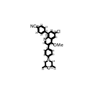 COc1c(-c2ccc(N3CC(C)OC(C)C3)cc2)cnc2c(-c3ccc(C#N)cc3)cc(Cl)cc12